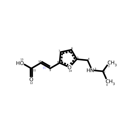 CC(C)NCc1ccc(/C=C/C(=O)O)o1